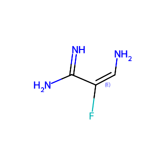 N=C(N)/C(F)=C\N